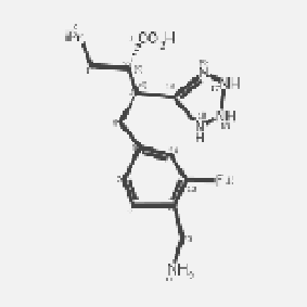 CC(C)C[C@H](C(=O)O)[C@H](Cc1ccc(CN)c(F)c1)C1=NNNN1